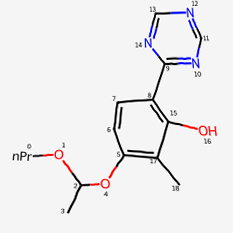 CCCOC(C)Oc1ccc(-c2ncncn2)c(O)c1C